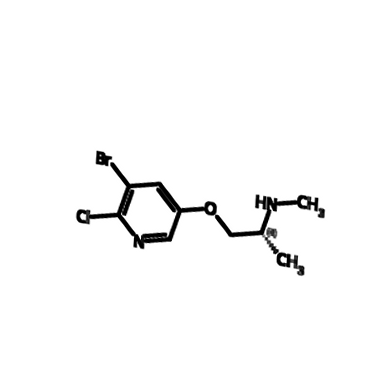 CN[C@H](C)COc1cnc(Cl)c(Br)c1